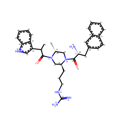 CC(C(=O)N1C[C@H](CCCNC(=N)N)N(C(=O)[C@H](N)Cc2ccc3ccccc3c2)C[C@H]1C)c1c[nH]c2ccccc12